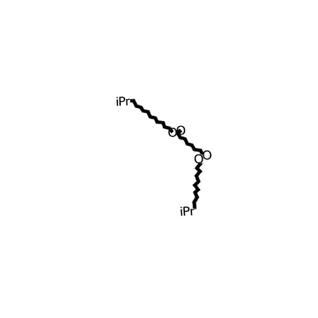 CC(C)CCCCCCCCCCCOC(=O)CCCCCCC(=O)OCCCCCCCCCCCC(C)C